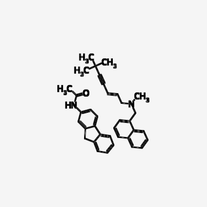 CC(=O)Nc1ccc2c(c1)Cc1ccccc1-2.CN(C/C=C/C#CC(C)(C)C)Cc1cccc2ccccc12